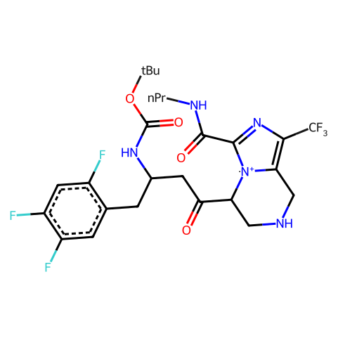 CCCNC(=O)C1=NC(C(F)(F)F)=C2CNCC(C(=O)CC(Cc3cc(F)c(F)cc3F)NC(=O)OC(C)(C)C)[N+]12